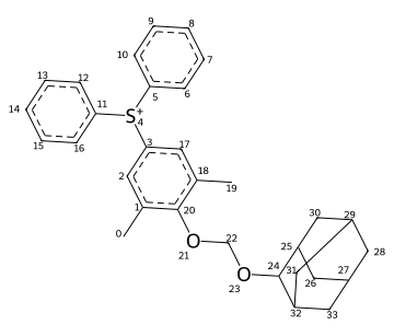 Cc1cc([S+](c2ccccc2)c2ccccc2)cc(C)c1OCOC1C2CC3CC(C2)CC1C3